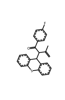 C=C(C)C(C(=O)c1ccc(F)cc1)C1c2ccccc2Sc2ccccc21